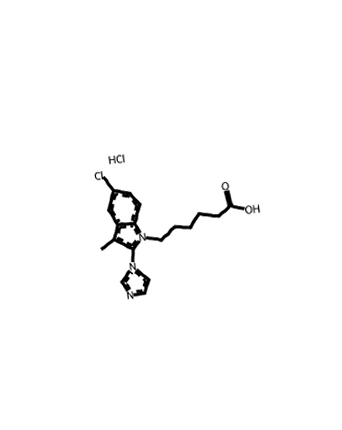 Cc1c(-n2ccnc2)n(CCCCCC(=O)O)c2ccc(Cl)cc12.Cl